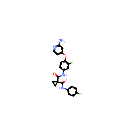 Nc1cc(Oc2ccc(NC(=O)C3(C(=O)Nc4ccc(F)cc4)CC3)cc2F)ccn1